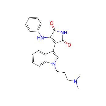 CN(C)CCCn1cc(C2=C(Nc3ccccc3)C(=O)NC2=O)c2ccccc21